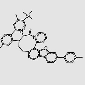 C=C1C2C(CCc3ccc4c(oc5cc(-c6ccc(C)cc6)ccc54)c3-c3cccc[n+]31)c1cc(C)ccc1-c1cc(C)c([Si](C)(C)C)c[n+]12